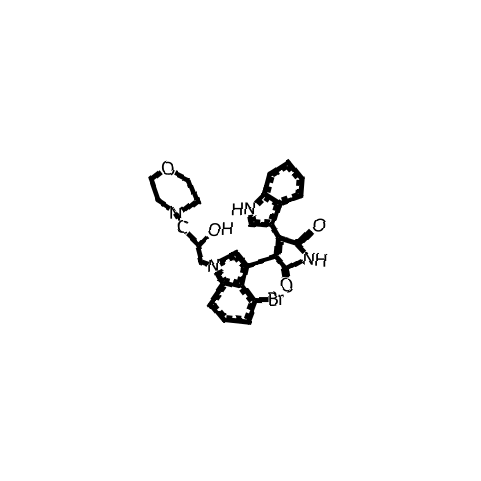 O=C1NC(=O)C(c2cn(CC(O)CN3CCOCC3)c3cccc(Br)c23)=C1c1c[nH]c2ccccc12